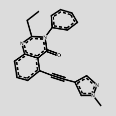 CCc1nc2cccc(C#Cc3cnn(C)c3)c2c(=O)n1-c1ccccc1